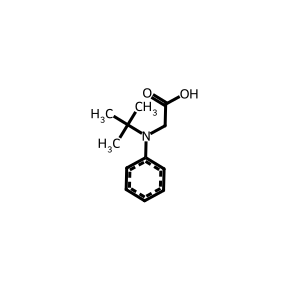 CC(C)(C)N(CC(=O)O)c1ccccc1